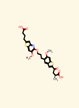 COc1cc2sc(C(=O)C[C@H](C)C(=O)O)cc2cc1CCCOc1nc2cc(CCCC(=O)O)sc2cc1OC